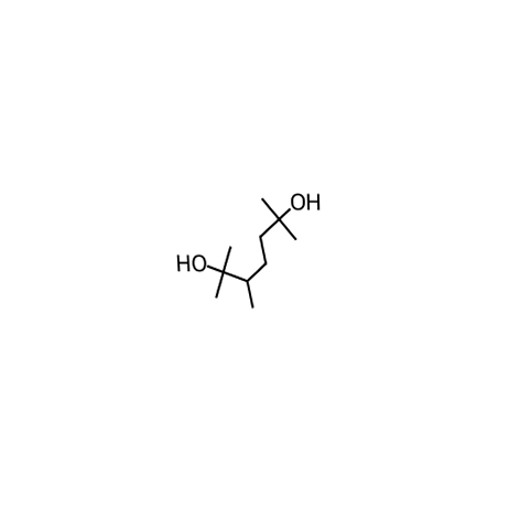 CC(CCC(C)(C)O)C(C)(C)O